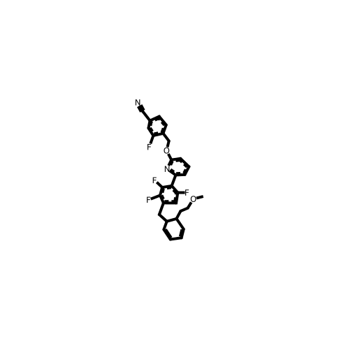 COCCC1C=CC=CC1Cc1cc(F)c(-c2cccc(OCc3ccc(C#N)cc3F)n2)c(F)c1F